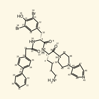 NCCCC[C@H](NC(=O)[C@@H](Cc1cc(Br)c(O)c(Br)c1)NC(=O)Cc1ccc(-c2ccccc2)cc1)C(=O)N1CCN(c2ccncc2)CC1